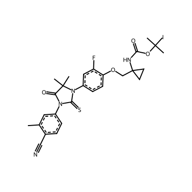 Cc1cc(N2C(=O)C(C)(C)N(c3ccc(OCC4(NC(=O)OC(C)(C)I)CC4)c(F)c3)C2=S)ccc1C#N